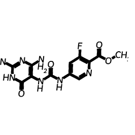 COC(=O)c1ncc(NC(=O)Nc2c(N)nc(N)[nH]c2=O)cc1F